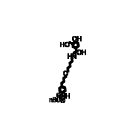 CCCCS(=O)(=O)Nc1ccc(CCCCOCCCCCCNCC(O)c2ccc(O)c(CO)c2)cc1